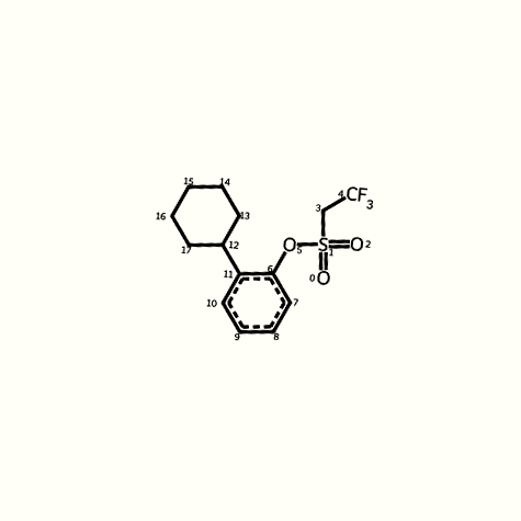 O=S(=O)(CC(F)(F)F)Oc1ccccc1C1CCCCC1